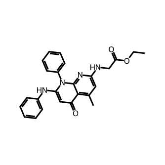 CCOC(=O)CNc1cc(C)c2c(=O)cc(Nc3ccccc3)n(-c3ccccc3)c2n1